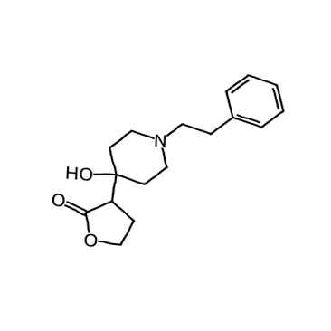 O=C1OCCC1C1(O)CCN(CCc2ccccc2)CC1